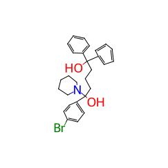 OC(CCCC(O)(c1ccc(Br)cc1)N1CCCCC1)(c1ccccc1)c1ccccc1